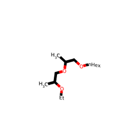 CCCCCCOCC(C)OCC(C)OCC